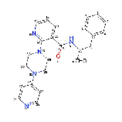 O=CC(Cc1ccccc1)NC(=O)c1cccnc1N1CCN(c2ccncc2)CC1